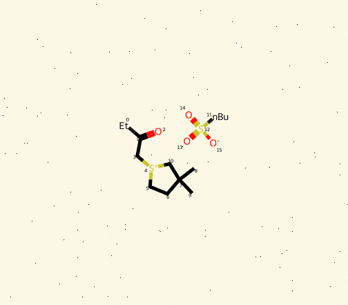 CCC(=O)C[S+]1CCC(C)(C)C1.CCCCS(=O)(=O)[O-]